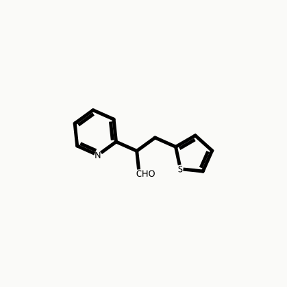 O=CC(Cc1cccs1)c1ccccn1